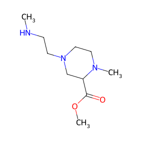 CNCCN1CCN(C)C(C(=O)OC)C1